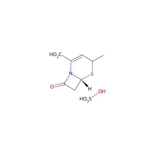 CC1C=C(C(=O)O)N2C(=O)C[C@H]2S1.O=S(=O)(O)O